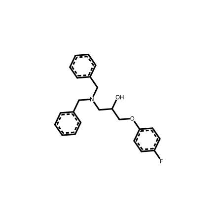 OC(COc1ccc(F)cc1)CN(Cc1ccccc1)Cc1ccccc1